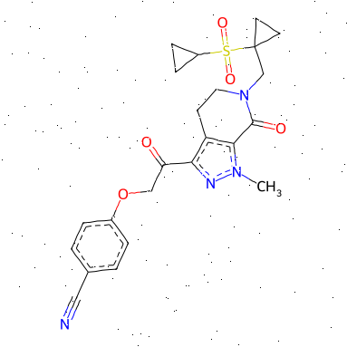 Cn1nc(C(=O)COc2ccc(C#N)cc2)c2c1C(=O)N(CC1(S(=O)(=O)C3CC3)CC1)CC2